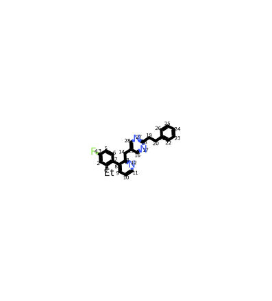 CCc1cc(F)ccc1-c1cccnc1Cc1cnc(CCc2ccccc2)nc1